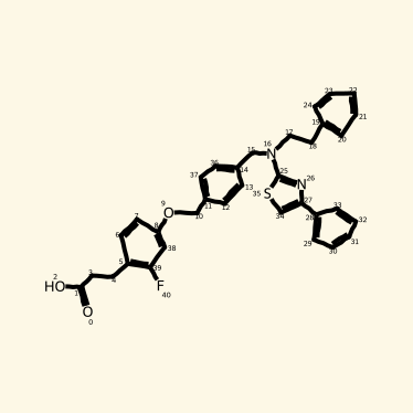 O=C(O)CCc1ccc(OCc2ccc(CN(CCc3ccccc3)c3nc(-c4ccccc4)cs3)cc2)cc1F